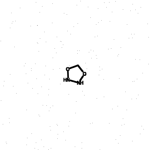 C1ONNO1